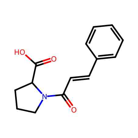 O=C(O)C1CCCN1C(=O)/C=C/c1ccccc1